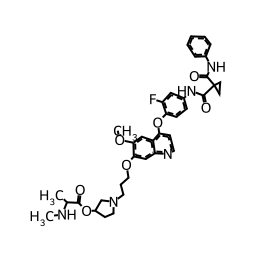 CNC(C)C(=O)OC1CCN(CCCOc2cc3nccc(Oc4ccc(NC(=O)C5(C(=O)Nc6ccccc6)CC5)cc4F)c3cc2OC)C1